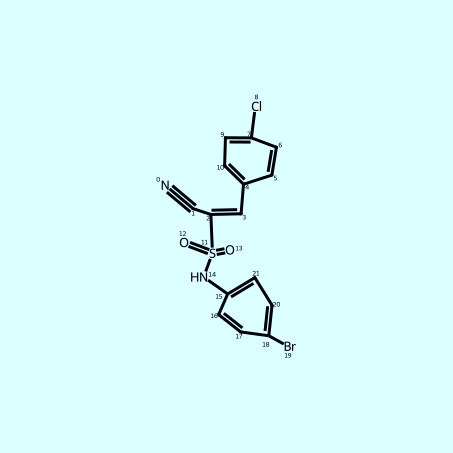 N#C/C(=C\c1ccc(Cl)cc1)S(=O)(=O)Nc1ccc(Br)cc1